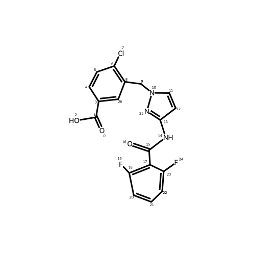 O=C(O)c1ccc(Cl)c(Cn2ccc(NC(=O)c3c(F)cccc3F)n2)c1